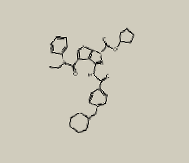 CCN(C(=O)c1csc2c1c(NC(=O)c1ccc(CN3CCCCC3)cc1)nn2C(=O)OC1CCCC1)c1ccccc1